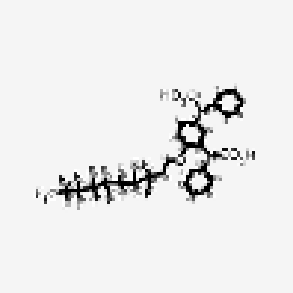 O=C(O)N(c1ccccc1)c1ccc(OCCC(F)(F)C(F)(F)C(F)(F)C(F)(F)C(F)(F)C(F)(F)C(F)(F)C(F)(F)F)c(N(C(=O)O)c2ccccc2)c1